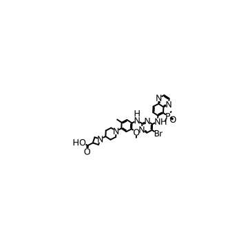 COc1cc(N2CCC(N3CC(C(=O)O)C3)CC2)c(C)cc1Nc1ncc(Br)c(Nc2ccc3nccnc3c2P(C)(C)=O)n1